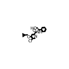 O=C(N[C@@H](CO)c1ccccc1)c1cc(OCC2CC2)c(Cl)cn1